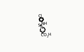 O=C(O)N1CCCN(C(=S)Nc2ccc(Cl)cc2)CC1